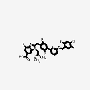 CO[C@H](C)Cn1c(Cc2cc(F)c(-c3cccc(OCc4cc(F)c(Cl)cc4F)n3)cc2F)nc2c(F)cc(C(=O)O)cc21